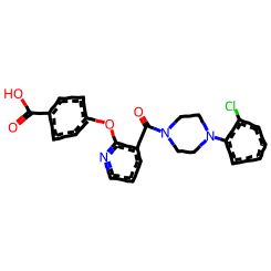 O=C(O)c1ccc(Oc2ncccc2C(=O)N2CCN(c3ccccc3Cl)CC2)cc1